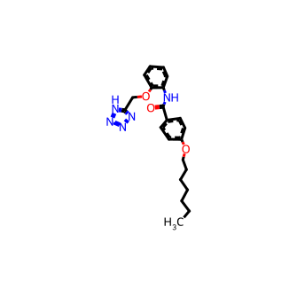 CCCCCCCOc1ccc(C(=O)Nc2ccccc2OCc2nnn[nH]2)cc1